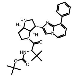 CC(C)(C)OC(=O)N[C@H](C(=O)N1CC[C@H]2NC[C@H](c3cn4cccc(-c5ccccc5)c4n3)[C@H]21)C(C)(C)C